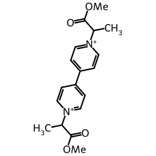 COC(=O)C(C)[n+]1ccc(-c2cc[n+](C(C)C(=O)OC)cc2)cc1